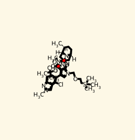 C[C@@H]1CC[C@H]2C[C@H](NC(=O)OC(C)(C)C)C[C@@H]1N2c1nc2c(c(-c3ccc4nn(C)cc4c3Cl)cn2COCC[Si](C)(C)C)c(=O)n1C